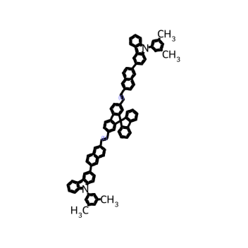 Cc1cc(C)cc(-n2c3ccccc3c3cc(-c4ccc5cc(/C=C/c6ccc7c(c6)C6(c8ccccc8-c8ccccc86)c6cc(/C=C/c8ccc9cc(-c%10ccc%11c(c%10)c%10ccccc%10n%11-c%10cc(C)cc(C)c%10)ccc9c8)ccc6-7)ccc5c4)ccc32)c1